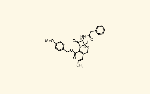 CC=CC1=C(C(=O)OCc2ccc(OC)cc2)N2C(=O)[C@@H](NC(=O)Cc3ccccc3)[C@@H]2SC1